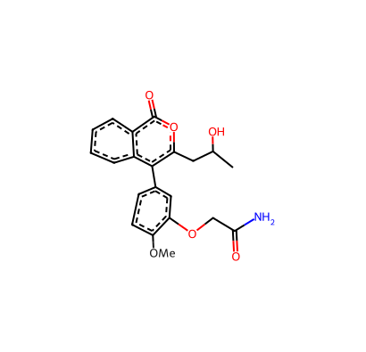 COc1ccc(-c2c(CC(C)O)oc(=O)c3ccccc23)cc1OCC(N)=O